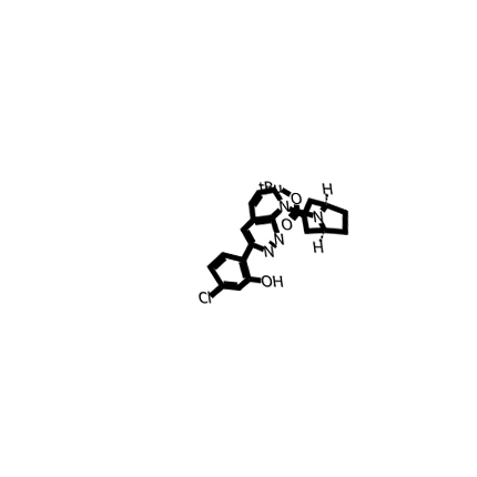 CC(C)(C)OC(=O)N1[C@@H]2CC[C@H]1CC(N1CC=Cc3cc(-c4ccc(Cl)cc4O)nnc31)C2